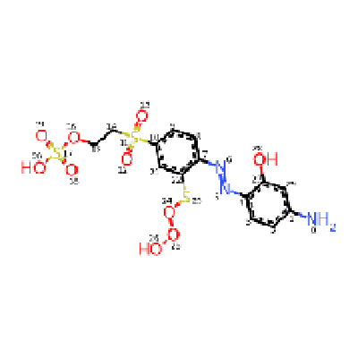 Nc1ccc(/N=N/c2ccc(S(=O)(=O)CCOS(=O)(=O)O)cc2SOOO)c(O)c1